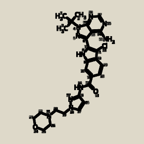 CC(C)(C)n1nc(-c2[nH]c3cc(C(=O)Nc4ccn(CCN5CCOCC5)n4)ccc3c2Cl)c2c(N)ncnc21